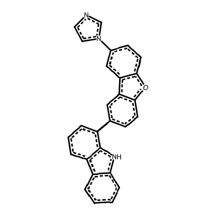 c1ccc2c(c1)[nH]c1c(-c3ccc4oc5ccc(-n6ccnc6)cc5c4c3)cccc12